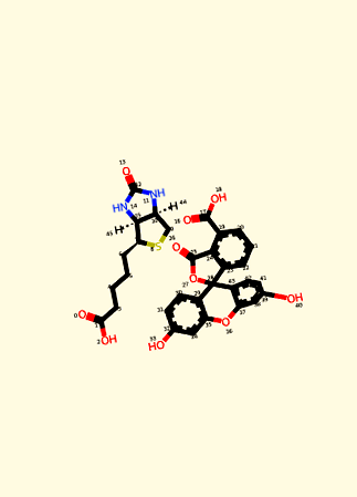 O=C(O)CCCC[C@@H]1SC[C@@H]2NC(=O)N[C@@H]21.O=C(O)c1cccc2c1C(=O)OC21c2ccc(O)cc2Oc2cc(O)ccc21